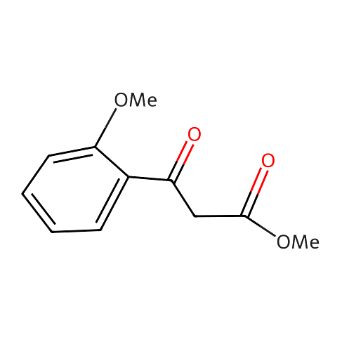 COC(=O)CC(=O)c1ccccc1OC